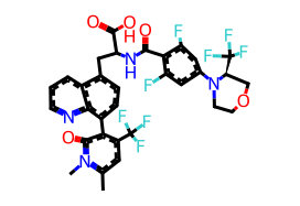 Cc1cc(C(F)(F)F)c(-c2ccc(CC(NC(=O)c3c(F)cc(N4CCOC[C@@H]4C(F)(F)F)cc3F)C(=O)O)c3cccnc23)c(=O)n1C